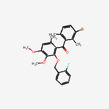 COc1cc(C)c(C(=O)c2c(C)ccc(Br)c2C)c(OCc2ccccc2F)c1OC